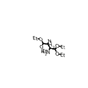 CCOC(OCC)C(N)C(N)C(OCC)OCC